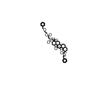 CC1(C)[C@@H](C(=O)NCC(=O)OCCOCc2ccccc2)CC[C@]2(C)[C@H]3C(=O)C=C4[C@@H]5C[C@@](C)(C(=O)OCc6ccccc6)CC[C@]5(C)CC[C@@]4(C)[C@]3(C)CC[C@@H]12